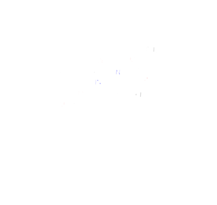 CCS(=O)(=O)c1nc(NC(=O)c2ccccc2OC(=O)CC2CCCCC2)sc1C